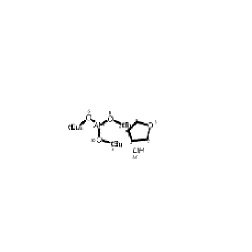 C1CCOC1.CC(C)(C)[O][Al]([O]C(C)(C)C)[O]C(C)(C)C.[LiH]